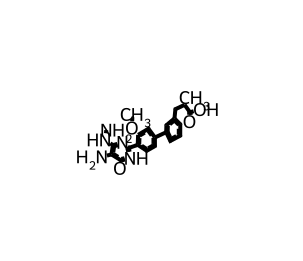 CCOc1cc(-c2cccc(CC(C)C(=O)O)c2)ccc1-c1nc(NN)c(N)c(=O)[nH]1